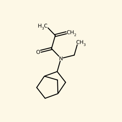 C=C(C)C(=O)N(CC)C1CC2CCC1C2